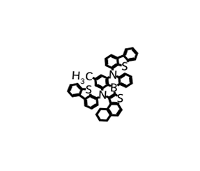 Cc1cc2c3c(c1)N(c1cccc4c1sc1ccccc14)c1c(sc4ccc5c(c14)CCCC5)B3c1ccccc1N2c1cccc2c1sc1ccccc12